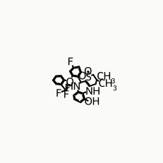 CC1(C)CC2=C(C(c3ccc(F)cc3Oc3ccccc3C(F)(F)F)Nc3cccc(O)c3N2)S(=O)(=O)C1